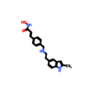 Cc1cc2cc(CCNCc3ccc(/C=C/C(=O)NO)cc3)ccc2[nH]1